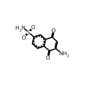 NC1=CC(=O)c2cc(S(N)(=O)=O)ccc2C1=O